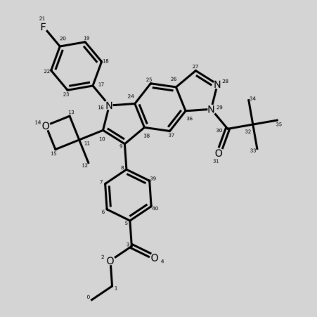 CCOC(=O)c1ccc(-c2c(C3(C)COC3)n(-c3ccc(F)cc3)c3cc4cnn(C(=O)C(C)(C)C)c4cc23)cc1